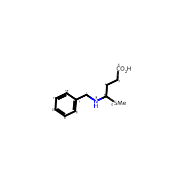 CSC(CCC(=O)O)NCc1ccccc1